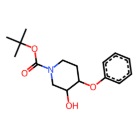 CC(C)(C)OC(=O)N1CCC(Oc2ccccc2)C(O)C1